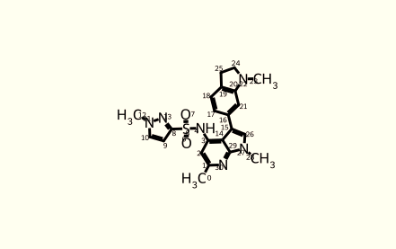 Cc1cc(NS(=O)(=O)c2ccn(C)n2)c2c(-c3ccc4c(c3)N(C)CC4)cn(C)c2n1